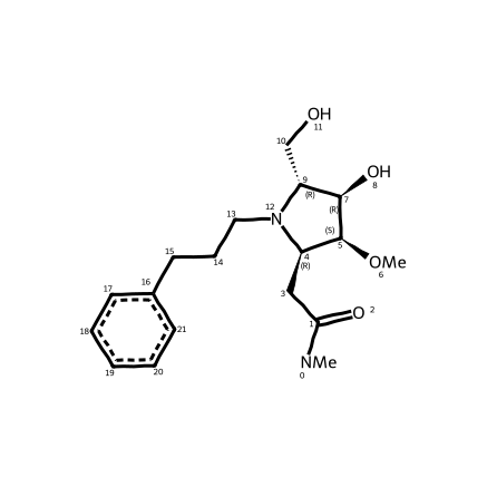 CNC(=O)C[C@@H]1[C@H](OC)[C@H](O)[C@@H](CO)N1CCCc1ccccc1